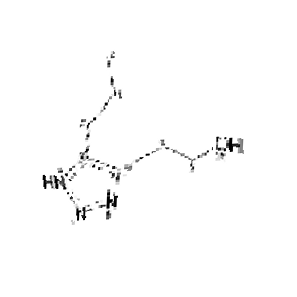 CCCc1[nH]nnc1CCO